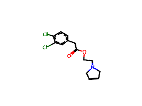 O=C(Cc1ccc(Cl)c(Cl)c1)OCCN1CCCC1